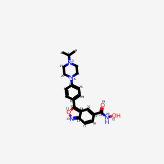 CC(C)N1CCN(c2ccc(-c3onc4ccc(C(=O)NO)cc34)cc2)CC1